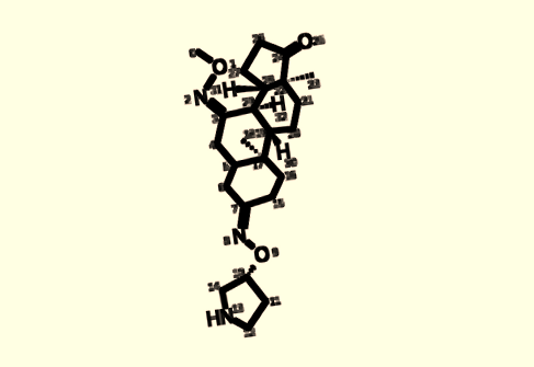 CO/N=C1/CC2C/C(=N/O[C@@H]3CCNC3)CC[C@]2(C)[C@H]2CC[C@]3(C)C(=O)CC[C@H]3[C@H]12